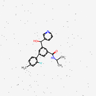 Cc1ccc(-c2cc(C(=O)NC(C)C)cc(C(O)c3cccnc3)c2)c(F)c1